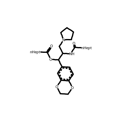 CCCCCCCC(=O)NC(CN1CCCC1)C(OC(=O)CCCCCCC)c1ccc2c(c1)OCCO2